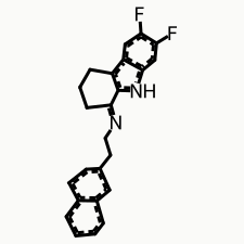 Fc1cc2[nH]c3c(c2cc1F)CCC/C3=N\CCc1ccc2ccccc2c1